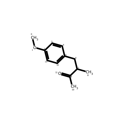 COc1ccc(CC(C)C(C)=O)cc1